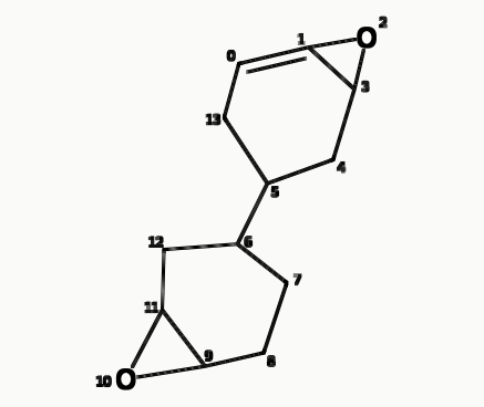 C1=C2OC2CC(C2CCC3OC3C2)C1